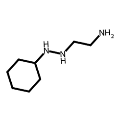 NCCNNC1CCCCC1